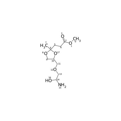 COC(=O)CCC1(C)OCC(COCC(N)O)O1